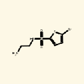 NCCNS(=O)(=O)c1ccc(Br)s1